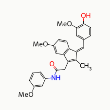 COc1cccc(NC(=O)CC2=C(C)/C(=C/c3ccc(O)c(OC)c3)c3ccc(OC)cc32)c1